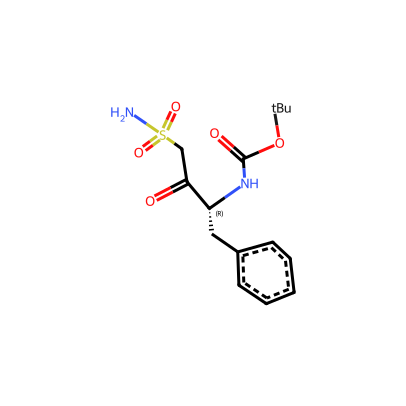 CC(C)(C)OC(=O)N[C@H](Cc1ccccc1)C(=O)CS(N)(=O)=O